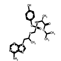 CC(C)OC(=O)[C@H](C)NP(=O)(COC(C)Cn1cnc2c(N)ncnc21)Oc1ccc(O)cc1